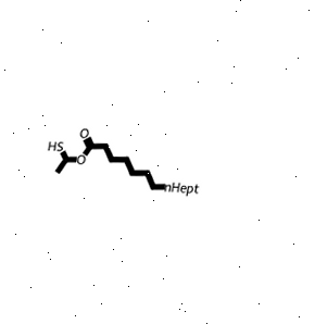 CCCCCCCCCCCCCC(=O)OC(C)S